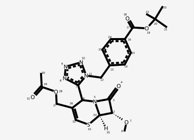 CO[C@H]1C(=O)N2C(c3nnnn3Cc3ccc(C(=O)OC(C)(C)C)cc3)C(COC(C)=O)=CS[C@H]12